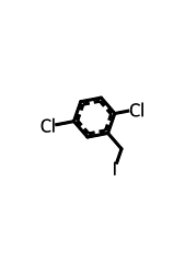 Clc1ccc(Cl)c(CI)c1